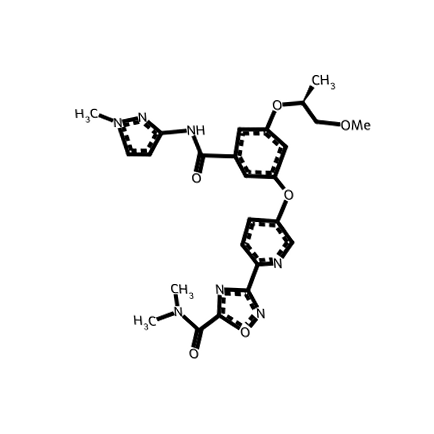 COC[C@H](C)Oc1cc(Oc2ccc(-c3noc(C(=O)N(C)C)n3)nc2)cc(C(=O)Nc2ccn(C)n2)c1